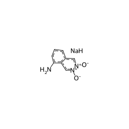 Nc1cccc2c[n+]([O-])[n+]([O-])cc12.[NaH]